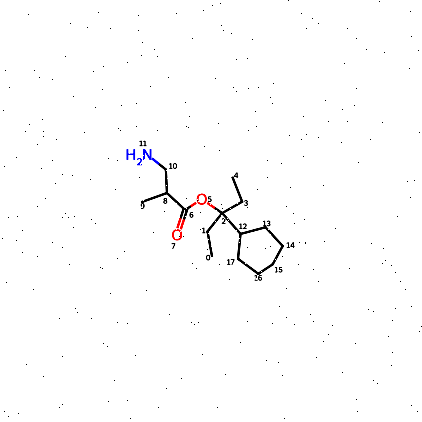 CCC(CC)(OC(=O)C(C)CN)C1CCCCC1